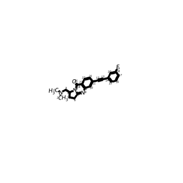 CN(C)CC1CCc2nc3cc(C#Cc4cccc(F)c4)ccc3c(=O)n21